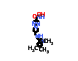 Cc1cc2c(CNCC3CCN(c4ncc(C(=O)NO)cn4)CC3)cn(C)c2cc1C